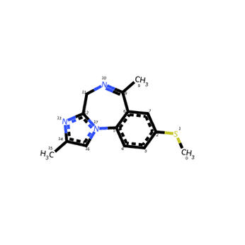 CSc1ccc2c(c1)C(C)=NCc1nc(C)cn1-2